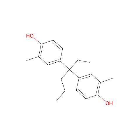 CCCC(CC)(c1ccc(O)c(C)c1)c1ccc(O)c(C)c1